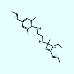 C/C=C/C1=CC(C)(NCCNc2c(C)cc(/C=C/C)cc2C)[C@H]1CC